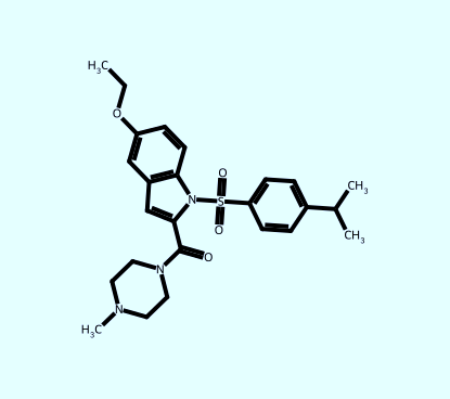 CCOc1ccc2c(c1)cc(C(=O)N1CCN(C)CC1)n2S(=O)(=O)c1ccc(C(C)C)cc1